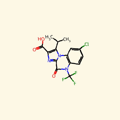 CC(C)c1c(C(=O)O)nc2c(=O)n(C(F)(F)F)c3ccc(Cl)cc3n12